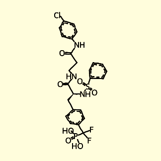 O=C(CCNC(=O)[C@H](Cc1ccc(C(F)(F)P(=O)(O)O)cc1)NS(=O)(=O)c1ccccc1)Nc1ccc(Cl)cc1